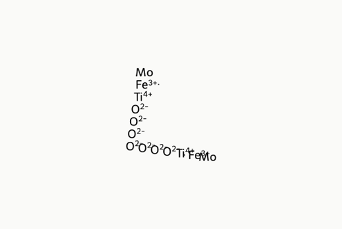 [Fe+3].[Fe+3].[Mo].[Mo].[O-2].[O-2].[O-2].[O-2].[O-2].[O-2].[O-2].[Ti+4].[Ti+4]